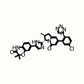 C[C@H]1Cc2cc(-c3cc(Cl)ccc3-n3cnnn3)cc(=O)n2[C@@H]1c1ncc(-c2ccc3c(c2)OC(C)(C)C(=O)N3)[nH]1